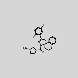 N[C@H]1CC[C@@H](C(=O)N2N=C(c3cc(F)ccc3F)SC23CCCc2ccccc23)C1